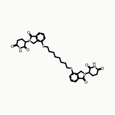 O=C1CCC(N2Cc3c(SCCCCCCCCSc4cccc5c4CN(C4CCC(=O)NC4=O)C5=O)cccc3C2=O)C(=O)N1